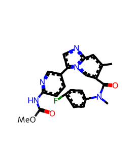 COC(=O)Nc1ccc(-c2cnc3cc(C)c(C(=O)N(C)c4ccc(F)cc4)cn23)cn1